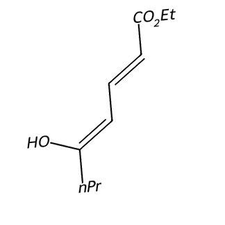 CCCC(O)=CC=CC(=O)OCC